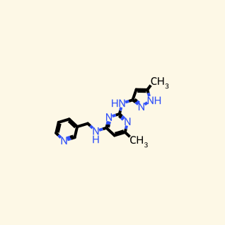 Cc1cc(NCc2cccnc2)nc(Nc2cc(C)[nH]n2)n1